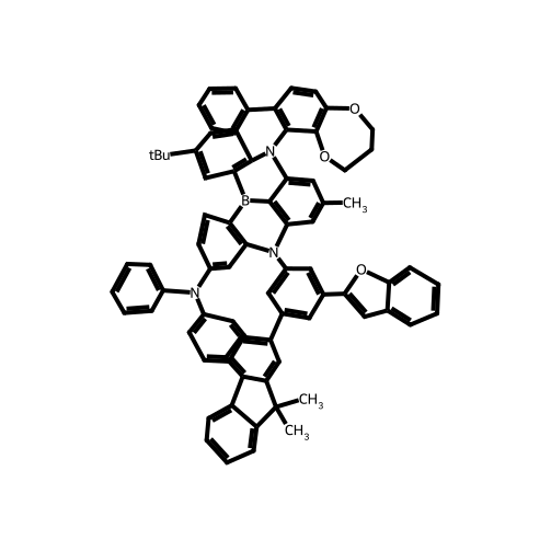 Cc1cc2c3c(c1)N(c1c(-c4ccccc4)ccc4c1OCCCO4)c1ccc(C(C)(C)C)cc1B3c1ccc(N(c3ccccc3)c3ccccc3)cc1N2c1cc(-c2ccc3c(c2)C(C)(C)c2ccccc2-3)cc(-c2cc3ccccc3o2)c1